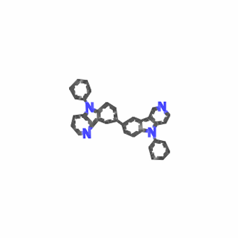 c1ccc(-n2c3ccncc3c3cc(-c4ccc5c(c4)c4ncccc4n5-c4ccccc4)ccc32)cc1